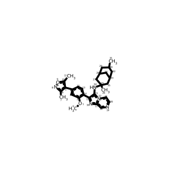 COc1cc(-c2c(C)noc2C)ccc1-c1nc2cnccn2c1NC1(C)CC2CC(C)CC(C2)C1